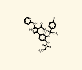 CCS(=O)(=O)Nc1ccc(-c2n[nH]c(Nc3cnccn3)c2C(N)=O)cc1OC(C)(C)c1ccc(F)cc1